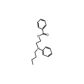 CCCCN(CCOC(=O)c1ccccc1)c1ccccc1